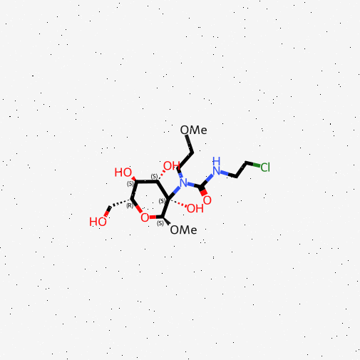 COCCN(C(=O)NCCCl)[C@@]1(O)[C@@H](OC)O[C@H](CO)[C@@H](O)[C@@H]1O